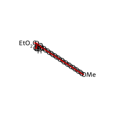 CCOC(=O)CCC(=O)N(CCCNC(=O)CCOCCOCCOCCOCCOCCOCCOCCOCCOCCOCCOCCOCCOCCOCCOCCOCCOCCOCCOCCOCCOCCOCCOCCOC)CCCNC(=O)OC(C)(C)C